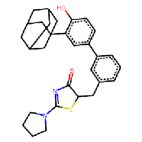 O=C1N=C(N2CCCC2)SC1Cc1cccc(-c2ccc(O)c(C34CC5CC(CC(C5)C3)C4)c2)c1